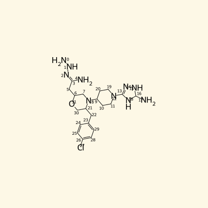 NN/N=C(\N)CC1CN(C2CCN(C3=NNC(N)N3)CC2)C(Cc2ccc(Cl)cc2)CO1